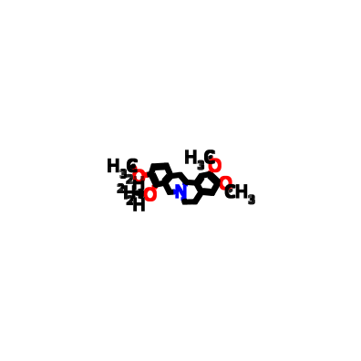 [2H]C([2H])([2H])Oc1c(OC)ccc2c1CN1CCc3cc(OC)c(OC)cc3C1C2